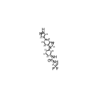 O=C(NCC(F)(F)F)Nc1cccc(-n2cnc3cc(-c4cn[nH]c4)ccc32)c1